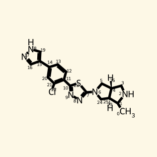 CC1NC[C@H]2CN(c3nnc(-c4ccc(-c5cn[nH]c5)cc4Cl)s3)C[C@H]12